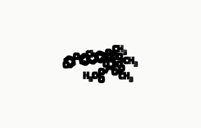 CC(=O)OC[C@H]1O[C@@](O)(c2ccc(Cl)c(Cc3ccc(OC4CCOCC4)cc3)c2)[C@H](OC(C)=O)[C@@H](OC(C)=O)[C@@H]1OC(C)=O